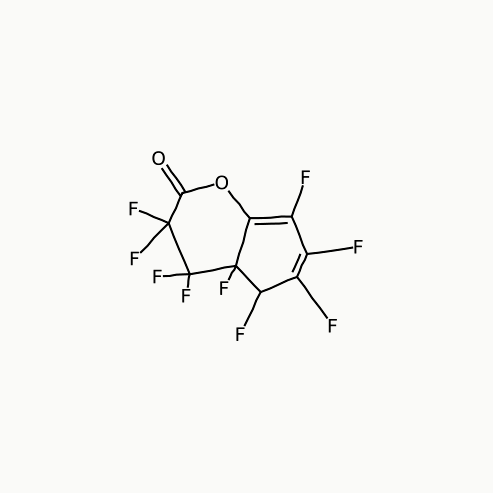 O=C1OC2=C(F)C(F)=C(F)C(F)C2(F)C(F)(F)C1(F)F